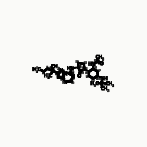 CCCC(C)(C)c1cc2ncnc(N[C@H]3CCN([C@H]4CC[C@@H](NC(C)(C)C)C[C@H]4NC(C)=O)C3=O)n2n1